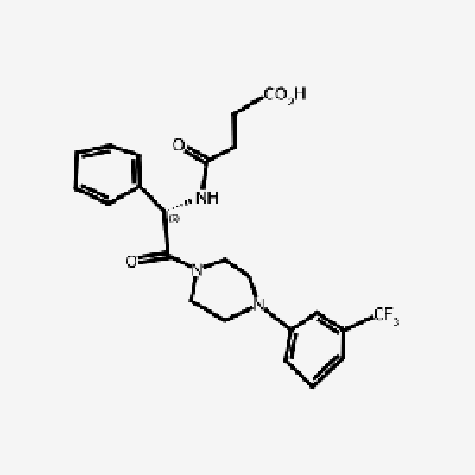 O=C(O)CCC(=O)N[C@H](C(=O)N1CCN(c2cccc(C(F)(F)F)c2)CC1)c1ccccc1